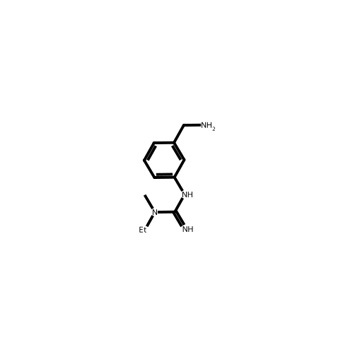 CCN(C)C(=N)Nc1cccc(CN)c1